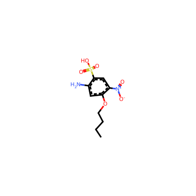 CCCCOc1cc(N)c(S(=O)(=O)O)cc1[N+](=O)[O-]